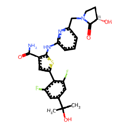 CC(C)(O)c1cc(F)c(-c2cc(C(N)=O)c(Nc3cccc(CN4CC[C@H](O)C4=O)n3)s2)c(F)c1